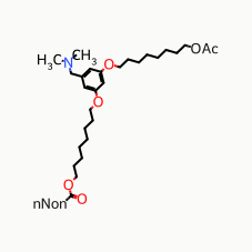 CCCCCCCCCC(=O)OCCCCCCCCOc1cc(CN(C)C)cc(OCCCCCCCCOC(C)=O)c1